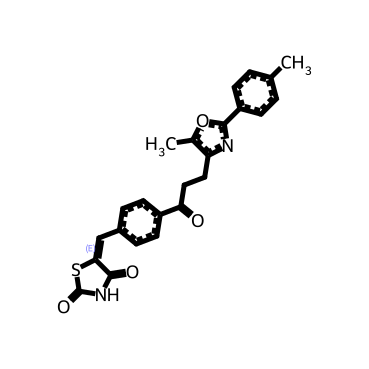 Cc1ccc(-c2nc(CCC(=O)c3ccc(/C=C4/SC(=O)NC4=O)cc3)c(C)o2)cc1